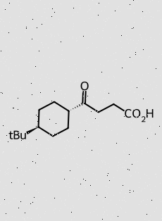 CC(C)(C)[C@H]1CC[C@H](C(=O)CCC(=O)O)CC1